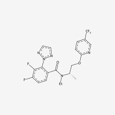 CCN(C(=O)c1ccc(F)c(F)c1-n1nccn1)[C@@H](C)COc1ccc(C(F)(F)F)cn1